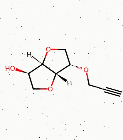 C#CCO[C@H]1CO[C@H]2[C@H]1OC[C@H]2O